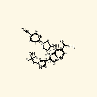 C[C@@H]1CN(c2ccc(C#N)cn2)C[C@H]1Nc1c(C(N)=O)cnn2cc(-c3cnn(CC(C)(C)O)c3)nc12